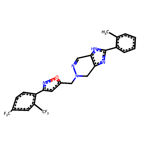 Cc1ccccc1-c1nc2c([nH]1)C=NN(Cc1cc(-c3ccc(C(F)(F)F)cc3C(F)(F)F)no1)C2